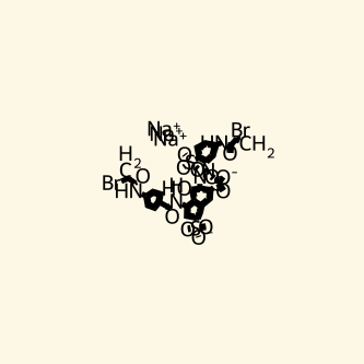 C=C(Br)C(=O)Nc1ccc(C(=O)Nc2cc(S(=O)(=O)[O-])cc3cc(S(=O)(=O)[O-])c(N=Nc4cc(NC(=O)C(=C)Br)ccc4S(=O)(=O)[O-])c(O)c23)cc1.[Na+].[Na+].[Na+]